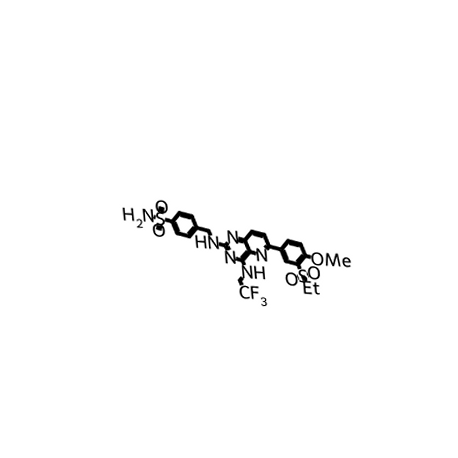 CCS(=O)(=O)c1cc(-c2ccc3nc(NCc4ccc(S(N)(=O)=O)cc4)nc(NCC(F)(F)F)c3n2)ccc1OC